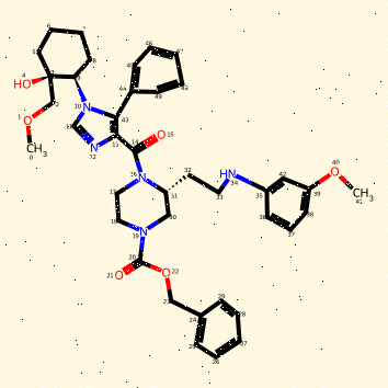 COC[C@]1(O)CCCC[C@H]1n1cnc(C(=O)N2CCN(C(=O)OCc3ccccc3)C[C@H]2CCNc2cccc(OC)c2)c1-c1ccccc1